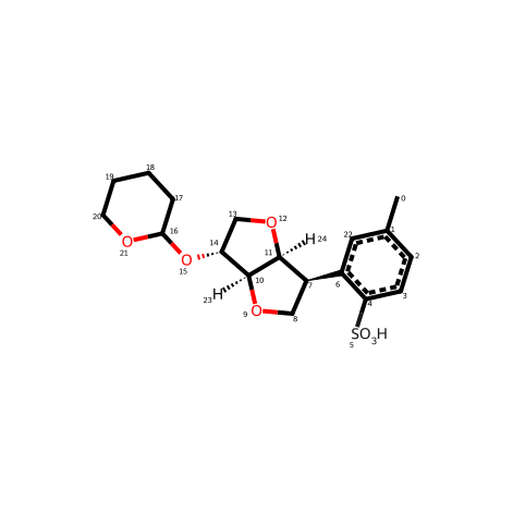 Cc1ccc(S(=O)(=O)O)c([C@H]2CO[C@@H]3[C@H]2OC[C@H]3OC2CCCCO2)c1